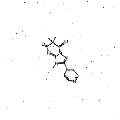 CN1C(c2ccncc2)=NN2C(=O)C(C)(C)C(=O)N=C12